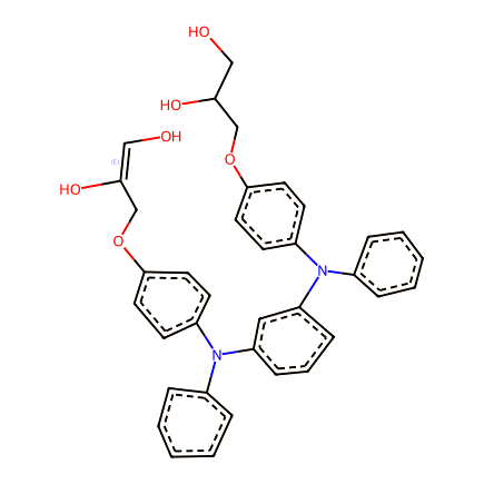 O/C=C(/O)COc1ccc(N(c2ccccc2)c2cccc(N(c3ccccc3)c3ccc(OCC(O)CO)cc3)c2)cc1